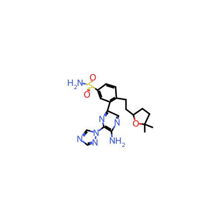 CC1(C)CCC(CCc2ccc(S(N)(=O)=O)cc2-c2cnc(N)c(-n3cncn3)n2)O1